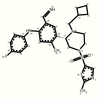 Cc1ncc(S(=O)(=O)N2CCN(CC3CCC3)[C@@H](c3cc(C=N)c(Nc4ccc(F)cc4)cc3C)C2)s1